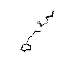 CCCOC(=O)CC[N]Cc1ccccc1